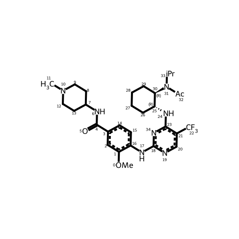 COc1cc(C(=O)NC2CCN(C)CC2)ccc1Nc1ncc(C(F)(F)F)c(N[C@@H]2CCCC[C@H]2N(C(C)=O)C(C)C)n1